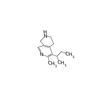 CCC(C)c1c(C)ncc2c1CCNC2